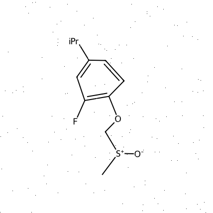 CC(C)c1ccc(OC[S+](C)[O-])c(F)c1